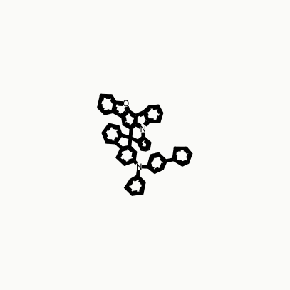 c1ccc(-c2ccc(N(c3ccccc3)c3ccc4c(c3)C3(c5ccccc5-4)c4ccccc4-n4c5ccccc5c5c6oc7ccccc7c6cc3c54)cc2)cc1